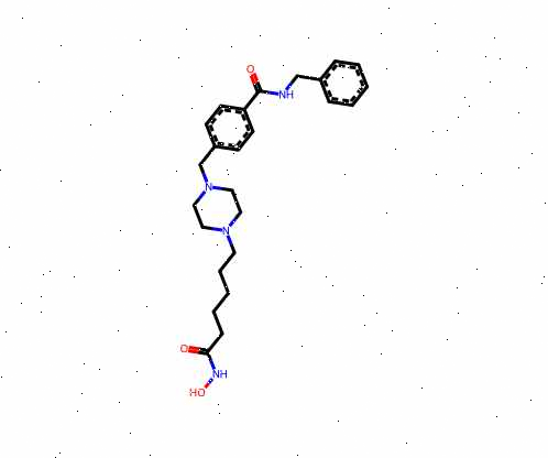 O=C(CCCCCN1CCN(Cc2ccc(C(=O)NCc3ccccc3)cc2)CC1)NO